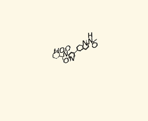 CC(=O)Nc1ccc2cc(-c3cnc4c(c3)N(C(=O)O)C(C3CCCCC3)CO4)ccc2n1